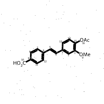 COc1cc(C=Cc2ccc(C(=O)O)cc2)ccc1OC(C)=O